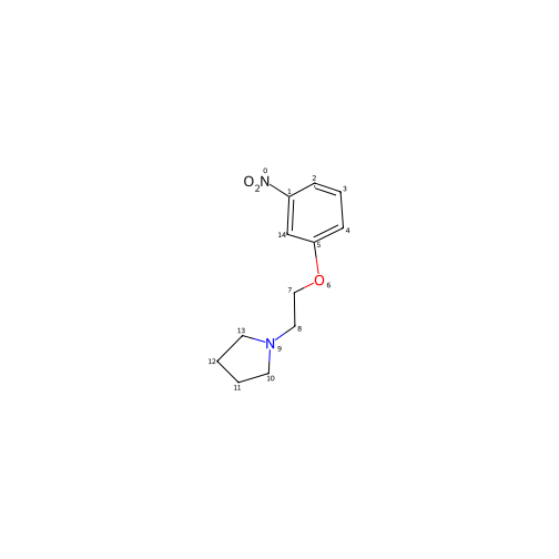 O=[N+]([O-])c1[c]ccc(OCCN2CCCC2)c1